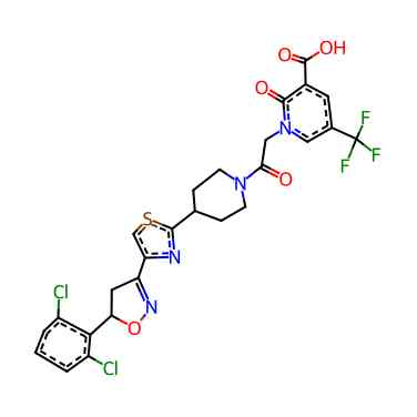 O=C(O)c1cc(C(F)(F)F)cn(CC(=O)N2CCC(c3nc(C4=NOC(c5c(Cl)cccc5Cl)C4)cs3)CC2)c1=O